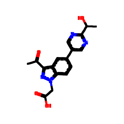 CC(=O)c1nn(CC(=O)O)c2ccc(-c3cnc(C(C)O)nc3)cc12